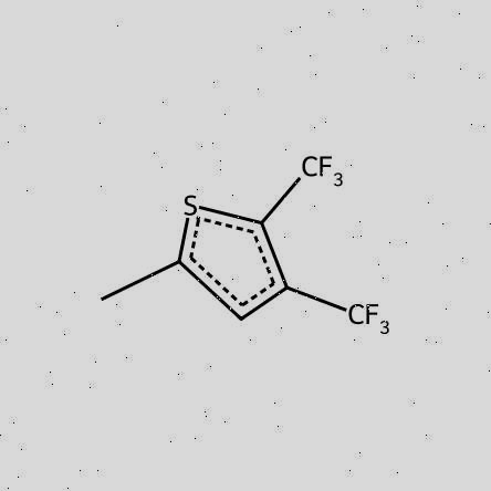 Cc1cc(C(F)(F)F)c(C(F)(F)F)s1